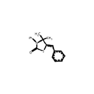 CC(C)N1C(=O)S/C(=C\c2ccccc2)C1(C)C